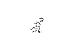 N=C1Sc2cc(-n3ccnn3)ccc2C2=NCCCN12